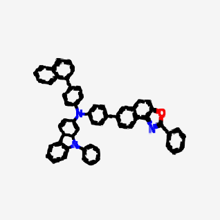 C1=CC2c3ccccc3N(c3ccccc3)C2C=C1N(c1ccc(-c2ccc3c(ccc4oc(-c5ccccc5)nc43)c2)cc1)c1ccc(-c2cccc3ccccc23)cc1